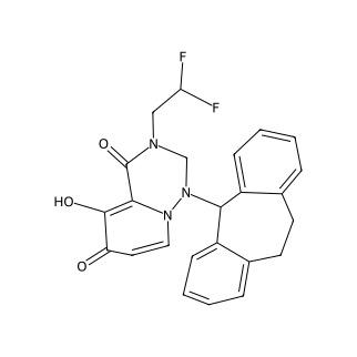 O=C1c2c(O)c(=O)ccn2N(C2c3ccccc3CCc3ccccc32)CN1CC(F)F